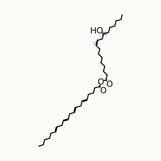 CCCCCC=CCC=CCC=CCC=CCCCC(=O)OC(=O)CCCCCCC/C=C\C[C@H](O)CCCCCC